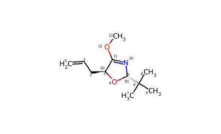 C=CC[C@@H]1O[C@@H](C(C)(C)C)N=C1OC